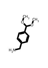 COC(OC)c1ccc(CN)cc1